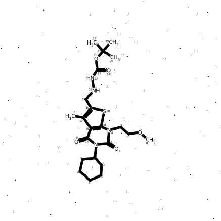 COCCn1c(=O)n(C2CCCCC2)c(=O)c2c(C)c(CNNC(=O)OC(C)(C)C)sc21